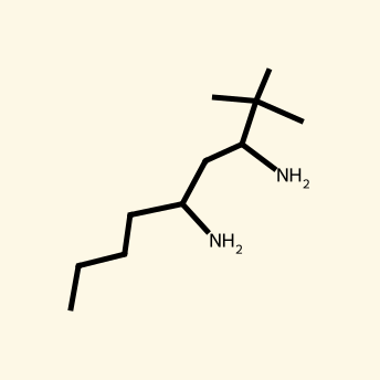 CCCCC(N)CC(N)C(C)(C)C